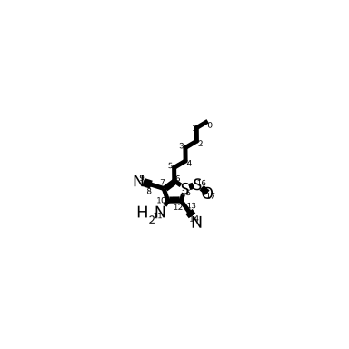 CCCCCCC1=C(C#N)C(N)=C(C#N)S1=S=O